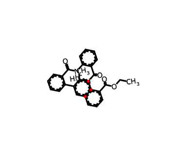 CCOC(=O)c1ccccc1N(C)C(=O)c1ccccc1NC(=O)c1ccccc1-c1ccccc1C